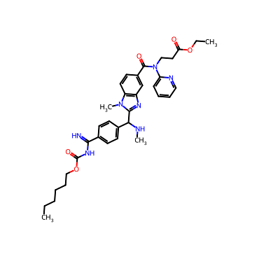 CCCCCCOC(=O)NC(=N)c1ccc(C(NC)c2nc3cc(C(=O)N(CCC(=O)OCC)c4ccccn4)ccc3n2C)cc1